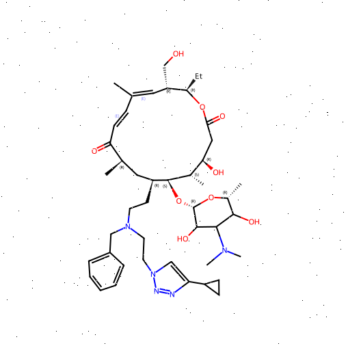 CC[C@H]1OC(=O)C[C@@H](O)[C@H](C)[C@@H](O[C@@H]2O[C@H](C)C(O)C(N(C)C)C2O)[C@@H](CCN(CCn2cc(C3CC3)nn2)Cc2ccccc2)C[C@@H](C)C(=O)/C=C/C(C)=C/[C@@H]1CO